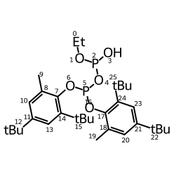 CCOP(O)OP(Oc1c(C)cc(C(C)(C)C)cc1C(C)(C)C)Oc1c(C)cc(C(C)(C)C)cc1C(C)(C)C